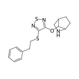 c1ccc(CCSc2nsnc2OC2C3CCC2NC3)cc1